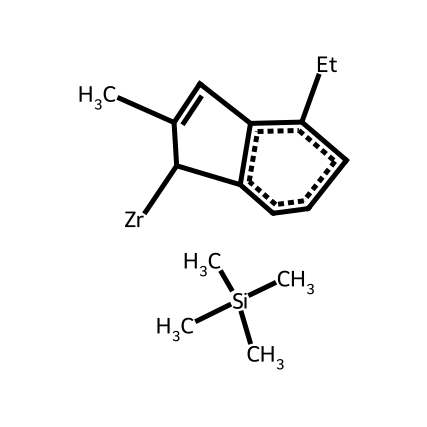 CCc1cccc2c1C=C(C)[CH]2[Zr].C[Si](C)(C)C